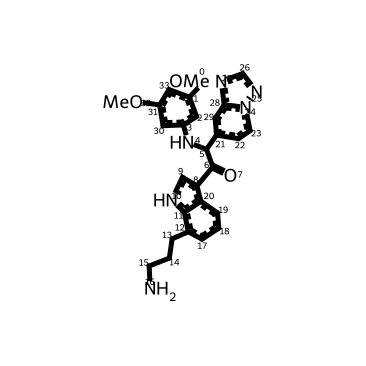 COc1cc(NC(C(=O)c2c[nH]c3c(CCCN)cccc23)c2ccn3ncnc3c2)cc(OC)c1